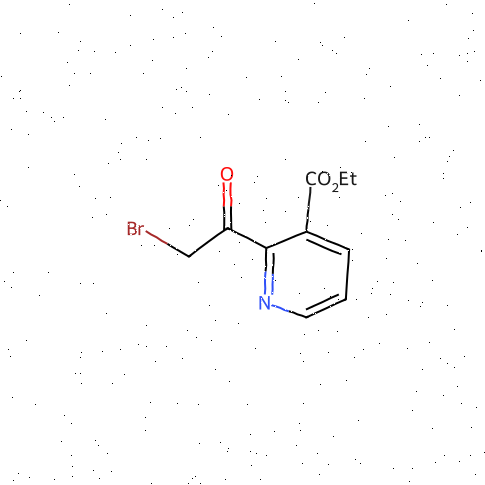 CCOC(=O)c1cccnc1C(=O)CBr